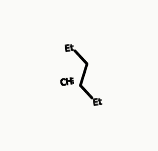 [CH].[C]CCCCC